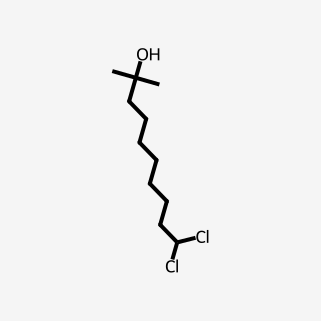 CC(C)(O)CCCCCCCC(Cl)Cl